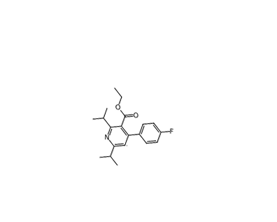 CCOC(=O)c1c(-c2ccc(F)cc2)[c]c(C(C)C)nc1C(C)C